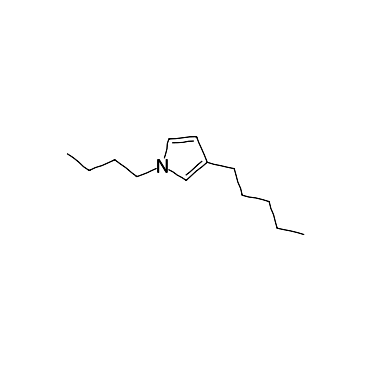 CCCCCc1ccn(CCCC)c1